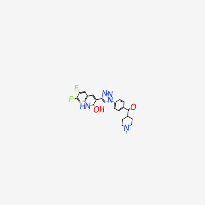 CN1CCC(C(=O)c2ccc(-n3cc(C4=Cc5cc(F)c(F)cc5NC4O)nn3)cc2)CC1